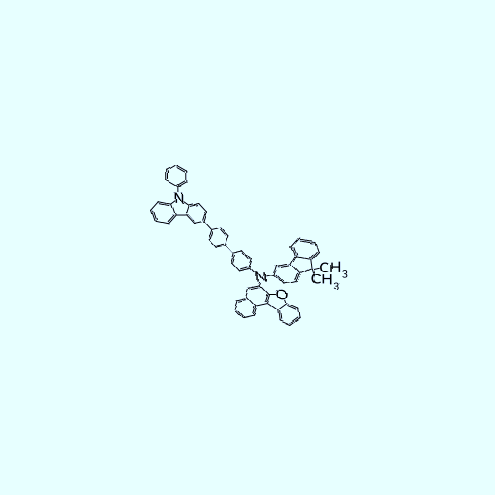 CC1(C)c2ccccc2-c2cc(N(c3ccc(-c4ccc(-c5ccc6c(c5)c5ccccc5n6-c5ccccc5)cc4)cc3)c3cc4ccccc4c4c3oc3ccccc34)ccc21